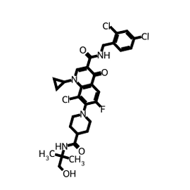 CC(C)(CO)NC(=O)C1CCN(c2c(F)cc3c(=O)c(C(=O)NCc4ccc(Cl)cc4Cl)cn(C4CC4)c3c2Cl)CC1